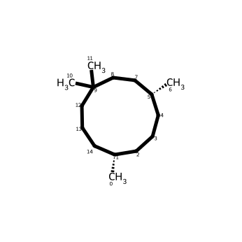 C[C@H]1CCC[C@@H](C)CCC(C)(C)CCC1